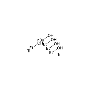 CCCCO.CCO.CCO.CCO.CCO.[Ti].[Ti]